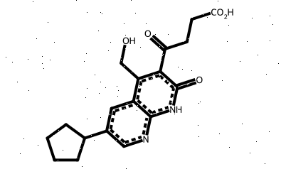 O=C(O)CCC(=O)c1c(CO)c2cc(C3CCCC3)cnc2[nH]c1=O